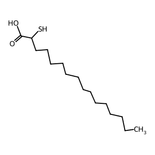 CCCCCCCCCCCCCCC(S)C(=O)O